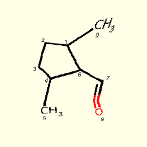 CC1CCC(C)C1C=O